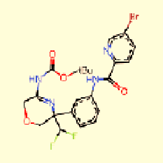 CC(C)(C)OC(=O)NC1=NC(c2cccc(NC(=O)c3ccc(Br)cn3)c2)(C(F)F)COC1